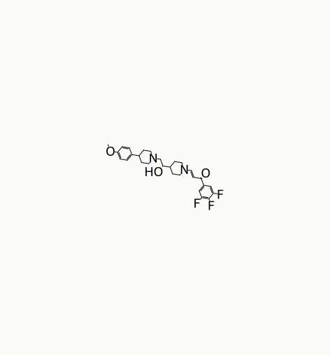 COc1ccc(C2CCN(CC(O)C3CCN(C=CC(=O)c4cc(F)c(F)c(F)c4)CC3)CC2)cc1